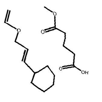 C=COCC=CC1CCCCC1.COC(=O)CCCC(=O)O